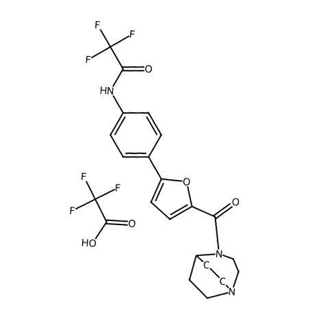 O=C(O)C(F)(F)F.O=C(c1ccc(-c2ccc(NC(=O)C(F)(F)F)cc2)o1)N1CCN2CCC1CC2